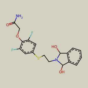 NC(=O)COc1c(F)cc(SCCN2C(O)c3ccccc3C2O)cc1F